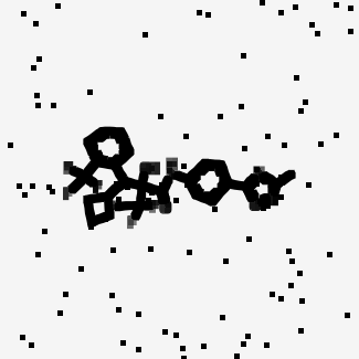 Cc1noc(-c2ccc(NC(=O)C(O)(C(c3ccccc3C(F)(F)F)C3CCC3)C(F)(F)F)cc2)n1